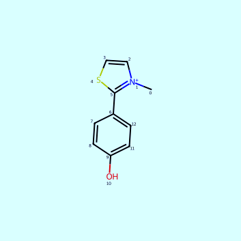 C[n+]1ccsc1-c1ccc(O)cc1